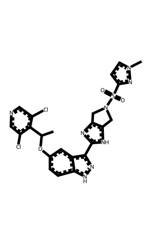 CC(Oc1ccc2[nH]nc(-c3nc4c([nH]3)CN(S(=O)(=O)c3ccn(C)n3)C4)c2c1)c1c(Cl)cncc1Cl